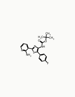 CC(C)(C)OC(=O)Nc1nc(-c2cccnc2N)sc1-c1ccc(F)cc1